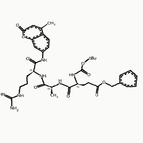 Cc1cc(=O)oc2cc(NC(=O)[C@H](CCCNC(=N)N)NC(=O)[C@H](C)NC(=O)[C@H](CCC(=O)OCc3ccccc3)NC(=O)OC(C)(C)C)ccc12